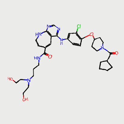 O=C(NCCCN(CCO)CCO)C1=Cc2c(ncnc2Nc2ccc(OC3CCN(C(=O)C4CCCC4)CC3)c(Cl)c2)NCC1